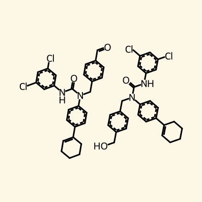 O=C(Nc1cc(Cl)cc(Cl)c1)N(Cc1ccc(CO)cc1)c1ccc(C2=CCCCC2)cc1.O=Cc1ccc(CN(C(=O)Nc2cc(Cl)cc(Cl)c2)c2ccc(C3=CCCCC3)cc2)cc1